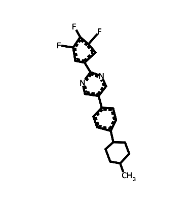 CC1CCC(c2ccc(-c3cnc(-c4cc(F)c(F)c(F)c4)nc3)cc2)CC1